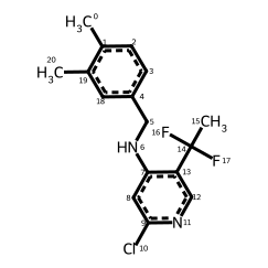 Cc1ccc(CNc2cc(Cl)ncc2C(C)(F)F)cc1C